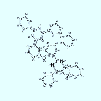 c1ccc(-c2cccc(-c3nc(-c4ccccc4)nc(-c4cccc5oc6c(-c7nc(-c8ccccc8)c8sc9ccccc9c8n7)cccc6c45)n3)c2)cc1